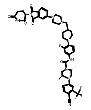 C[C@@H]1CN(c2ccc(C#N)c(C(F)(F)F)c2)[C@@H](C)CN1C(=O)Nc1ccc(N2CCC(CN3CCN(c4ccc5c(c4)C(=O)N([C@H]4CCC(=O)NC4=O)C5=O)CC3)CC2)c(F)c1